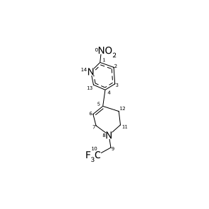 O=[N+]([O-])c1ccc(C2=CCN(CC(F)(F)F)CC2)cn1